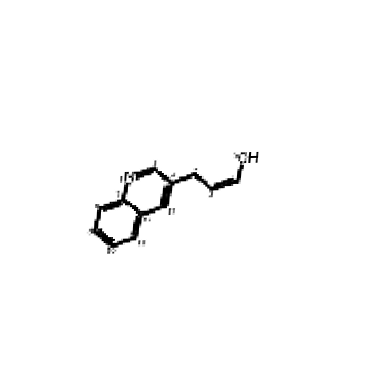 O/C=C\Cc1cnc2ccccc2c1